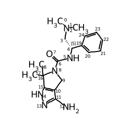 CN(C)C[C@@H](NC(=O)N1Cc2c(N)n[nH]c2C1(C)C)c1ccccc1